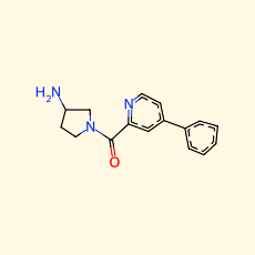 NC1CCN(C(=O)c2cc(-c3ccccc3)ccn2)C1